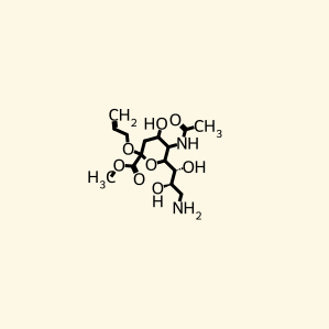 C=CCOC1(C(=O)OC)CC(O)C(NC(C)=O)C([C@H](O)[C@H](O)CN)O1